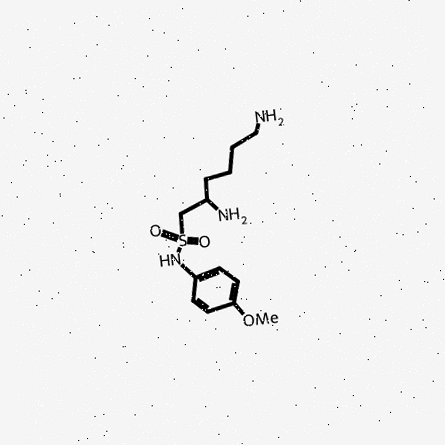 COc1ccc(NS(=O)(=O)CC(N)CCCCN)cc1